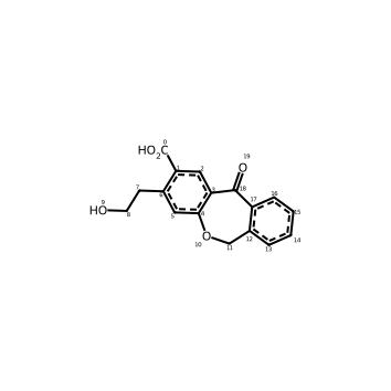 O=C(O)c1cc2c(cc1CCO)OCc1ccccc1C2=O